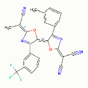 C/C(C#N)=c1\nc(-c2cccc(C(F)(F)F)c2)/c(=c2\oc(=C(C#N)C#N)nc2-c2cccc(C)c2)o1